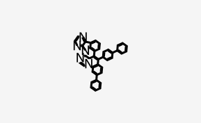 c1ccc(-c2ccc(C(c3ccc(-c4ccccc4)cc3)=c3c4cccc5c6nccnc6n(c6nccnc36)c45)cc2)cc1